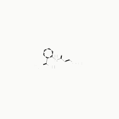 C=C(C)c1ccccc1NC(=O)C=CC(=O)O